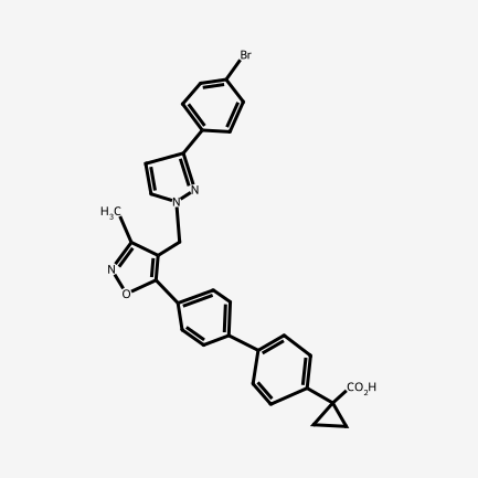 Cc1noc(-c2ccc(-c3ccc(C4(C(=O)O)CC4)cc3)cc2)c1Cn1ccc(-c2ccc(Br)cc2)n1